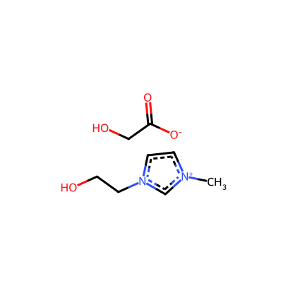 C[n+]1ccn(CCO)c1.O=C([O-])CO